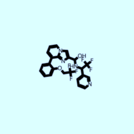 OC(NC(c1cccnc1)C(F)(F)F)c1cn2cccc(-c3ccccc3OCC(F)(F)F)c2n1